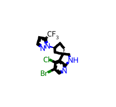 FC(F)(F)c1ccnn1[C@H]1CC[C@@]2(CNc3ncc(Br)c(Cl)c32)C1